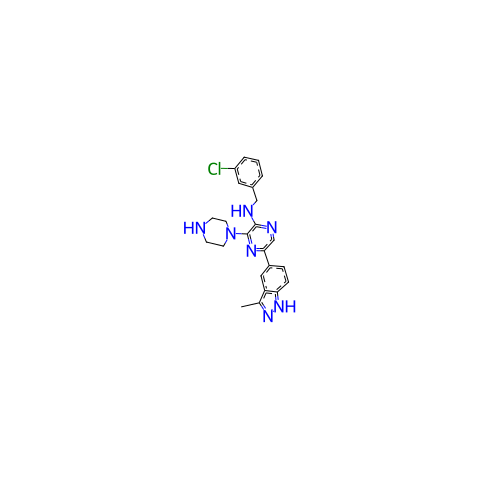 Cc1n[nH]c2ccc(-c3cnc(NCc4cccc(Cl)c4)c(N4CCNCC4)n3)cc12